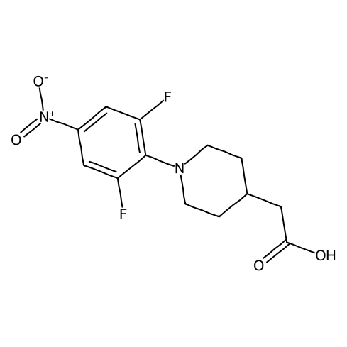 O=C(O)CC1CCN(c2c(F)cc([N+](=O)[O-])cc2F)CC1